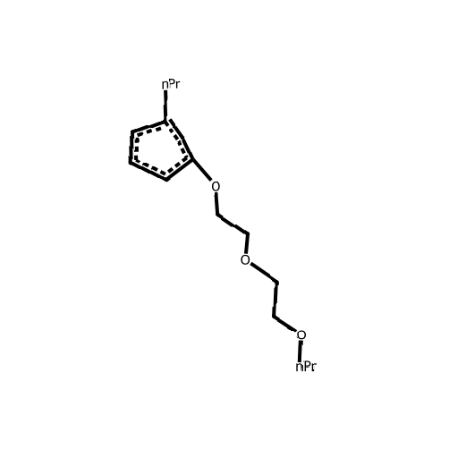 CCCOCCOCCOc1cccc(CCC)c1